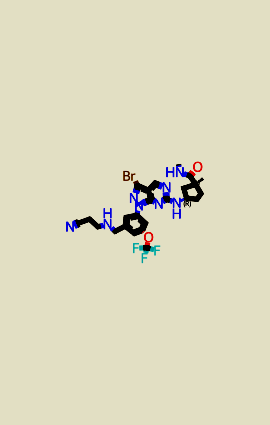 CNC(=O)[C@]1(C)CC[C@@H](Nc2ncc3c(Br)nn(-c4cc(CNCCC#N)cc(OC(F)(F)F)c4)c3n2)C1